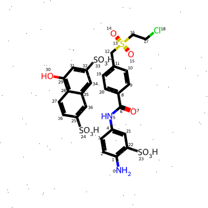 Nc1ccc(NC(=O)c2ccc(CS(=O)(=O)CCCl)cc2)cc1S(=O)(=O)O.O=S(=O)(O)c1ccc2c(O)cc(S(=O)(=O)O)cc2c1